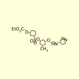 CCOC(=O)COc1cccc(S(=O)(=O)Oc2cc(C)cc(OCCNc3ccnnc3)c2)c1